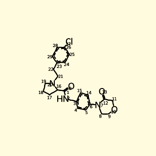 O=C(Nc1ccc(N2CCOCC2=O)cc1)C1CCCN1CCc1ccc(Cl)cc1